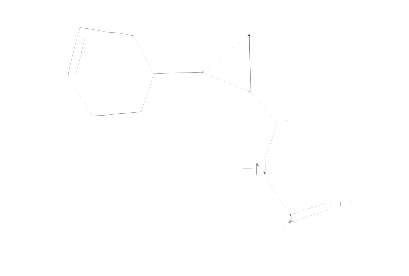 CC(=O)NCC1CC1C1CC=CCC1